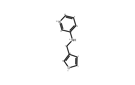 [c]1occc1CNc1cccnc1